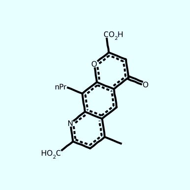 CCCc1c2nc(C(=O)O)cc(C)c2cc2c(=O)cc(C(=O)O)oc12